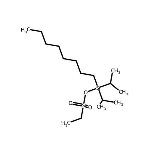 CCCCCCCC[Si](OS(=O)(=O)CC)(C(C)C)C(C)C